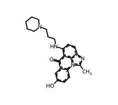 Cc1nc2ccc(NCCCN3CCCCC3)c3c(=O)c4cc(O)ccc4n1c23